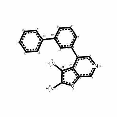 Nc1oc2cncc(-c3cccc(-c4ccccc4)c3)c2c1N